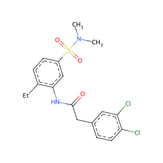 CCc1ccc(S(=O)(=O)N(C)C)cc1NC(=O)Cc1ccc(Cl)c(Cl)c1